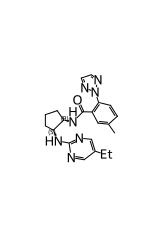 CCc1cnc(N[C@H]2CCC[C@H]2NC(=O)c2cc(C)ccc2-n2nccn2)nc1